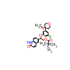 COC1(c2cc(F)cc(OC(COC(=O)C(C)(C)C)c3ccc4[nH]c(=O)ccc4c3)c2)CCOCC1